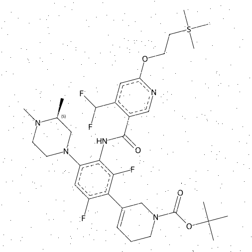 C[C@H]1CN(c2cc(F)c(C3=CCCN(C(=O)OC(C)(C)C)C3)c(F)c2NC(=O)c2cnc(OCCS(C)(C)C)cc2C(F)F)CCN1C